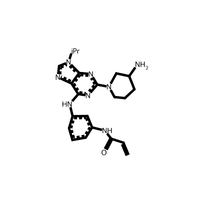 C=CC(=O)Nc1cccc(Nc2nc(N3CCCC(N)C3)nc3c2ncn3C(C)C)c1